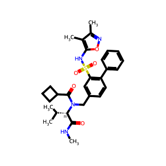 CNC(=O)[C@H](C(C)C)N(Cc1ccc(-c2ccccc2)c(S(=O)(=O)Nc2onc(C)c2C)c1)C(=O)C1CCC1